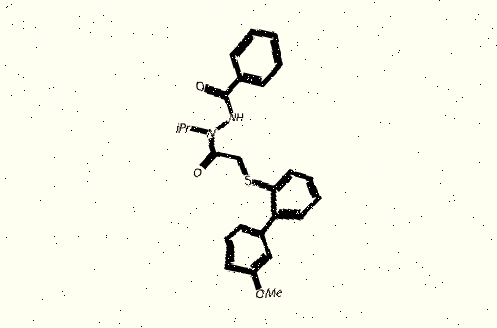 COc1cccc(-c2ccccc2SCC(=O)N(NC(=O)c2ccccc2)C(C)C)c1